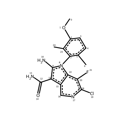 COc1ccc(C)c(-n2c(N)c(C(N)=O)c3cnc(Cl)c(F)c32)c1C